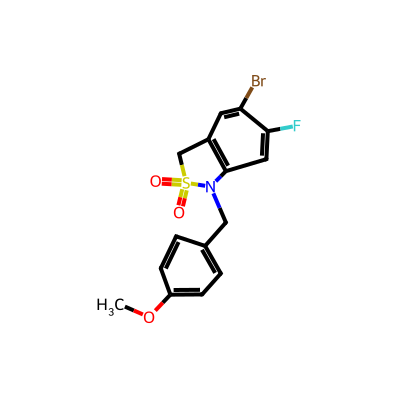 COc1ccc(CN2c3cc(F)c(Br)cc3CS2(=O)=O)cc1